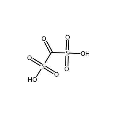 O=C(S(=O)(=O)O)S(=O)(=O)O